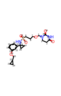 O=C1CCN(COCCCS(=O)(=O)NC2(c3cccc(OCC4CC4)c3)CC2)C(=O)N1